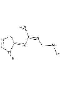 CCNC/N=C(N)\N=C1/CN=CN1C(C)C